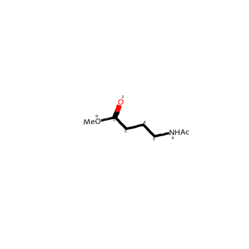 COC(=O)CCCNC(C)=O